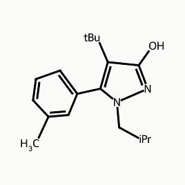 Cc1cccc(-c2c(C(C)(C)C)c(O)nn2CC(C)C)c1